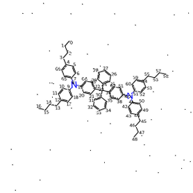 CCCCc1ccc(N(c2ccc(CCCC)cc2)c2ccc(C(c3ccccc3)(c3ccccc3)c3ccc(N(c4ccc(CCCC)cc4)c4ccc(CCCC)cc4)cc3)cc2)cc1